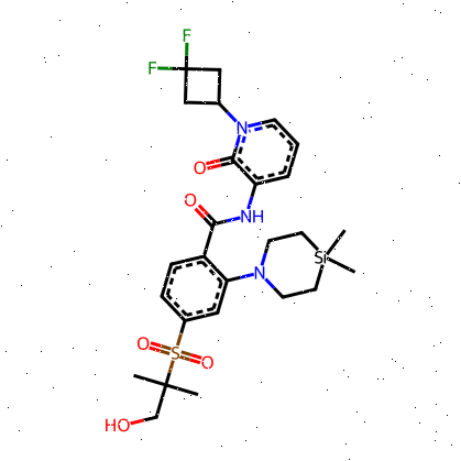 CC(C)(CO)S(=O)(=O)c1ccc(C(=O)Nc2cccn(C3CC(F)(F)C3)c2=O)c(N2CC[Si](C)(C)CC2)c1